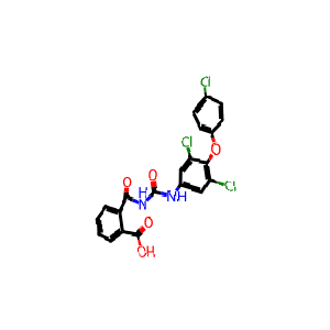 O=C(NC(=O)c1ccccc1C(=O)O)Nc1cc(Cl)c(Oc2ccc(Cl)cc2)c(Cl)c1